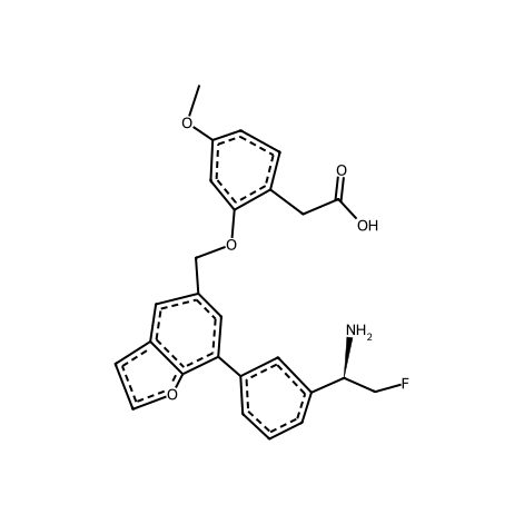 COc1ccc(CC(=O)O)c(OCc2cc(-c3cccc([C@@H](N)CF)c3)c3occc3c2)c1